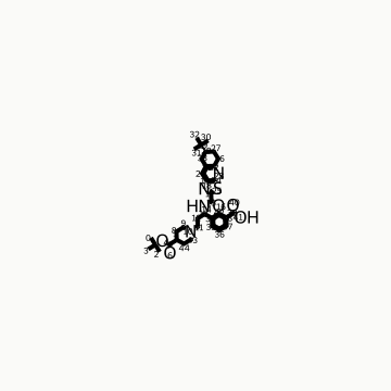 CC(C)(C)OC(=O)C1CCN(CCC(NC(=O)c2nc3cc4c(nc3s2)CC[C@H](C(C)(C)C)C4)c2cccc(C(=O)O)c2)CC1